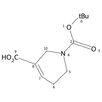 CC(C)(C)OC(=O)N1CCC=C(C(=O)O)C1